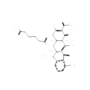 C[C@H]1c2cccc(O)c2C(=O)C2=C(O)[C@]3(O)C(=O)C(C(N)=O)=C(O)C[C@@H]3[C@@H](OC(=O)CCCCC(=O)O)[C@@H]21